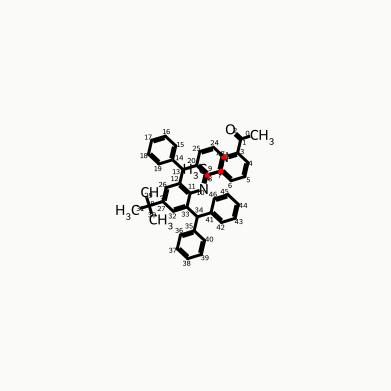 CC(=O)c1cccc(C(C)=Nc2c(C(c3ccccc3)c3ccccc3)cc(C(C)(C)C)cc2C(c2ccccc2)c2ccccc2)n1